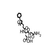 NC(=O)CNC(=O)[C@H](CCC(=O)O)NC(=O)CCc1cc(-c2ccccc2)on1